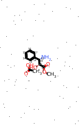 CC(=O)O.COC(=O)[C@H](O)[C@@H](N)c1ccccc1